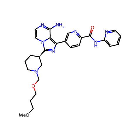 COCCCOCN1CCC[C@@H](c2nc(-c3ccc(C(=O)Nc4ccccn4)nc3)c3c(N)nccn23)C1